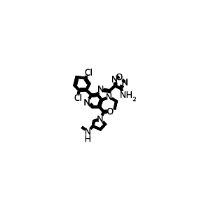 CCn1c(-c2nonc2N)nc2c(-c3cc(Cl)ccc3Cl)ncc(C(=O)N3CCC(NC)C3)c21